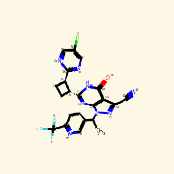 CC(c1ccc(C(F)(F)F)nc1)n1nc(C#N)c2c(=O)[nH]c([C@@H]3CC[C@H]3c3ncc(Cl)cn3)nc21